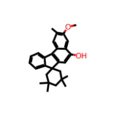 COc1cc2c(O)cc3c(c2cc1C)-c1ccccc1C31CC(C)(C)CC(C)(C)C1